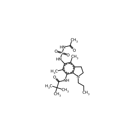 CCCN1CCc2c(C)c(NS(=O)(=O)NC(C)=O)c(C)c(NC(=O)C(C)(C)C)c21